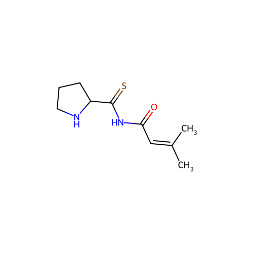 CC(C)=CC(=O)NC(=S)C1CCCN1